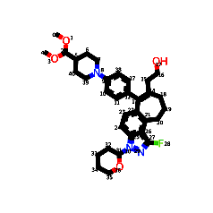 COC(OC)C1CCN(c2ccc(C3=C(CCO)CCCc4c3ccc3c4c(F)nn3C3CCCCO3)cc2)CC1